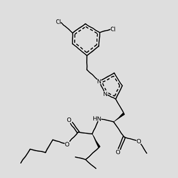 CCCCOC(=O)[C@H](CC(C)C)N[C@@H](Cc1ccn(Cc2cc(Cl)cc(Cl)c2)n1)C(=O)OC